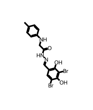 Cc1ccc(NCC(=O)NN=Cc2cc(Br)c(O)c(Br)c2O)cc1